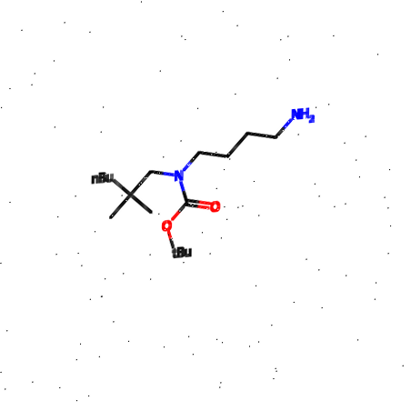 CCCCC(C)(C)CN(CCCCN)C(=O)OC(C)(C)C